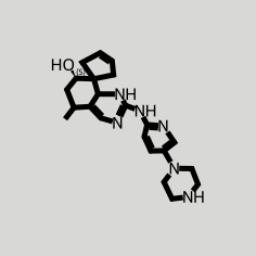 CC1C[C@H](O)C2(CC=CC2)C2NC(Nc3ccc(N4CCNCC4)cn3)=NC=C12